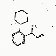 C=C[C@H](N)c1ccccc1N1CCCCC1